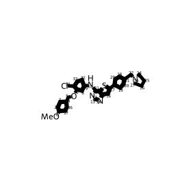 COc1ccc(COc2cc(Nc3ncnc4cc(-c5ccc(CN6CCCC6)cc5)sc34)ccc2Cl)cc1